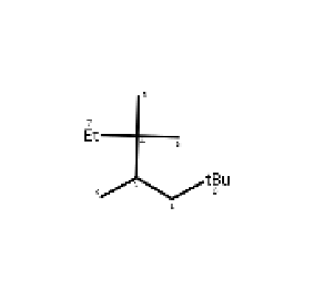 [CH2]C(C)(C)CC(C)C(C)(C)CC